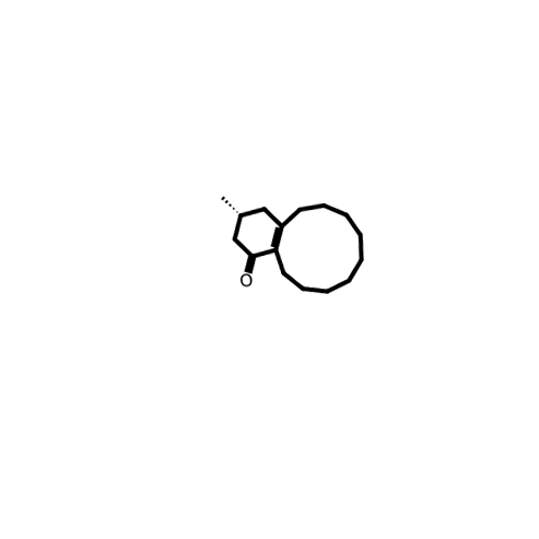 C[C@H]1CC(=O)C2=C(CCCCCCCCC2)C1